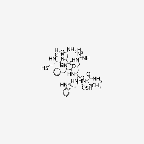 C=C(S)[C@H](NC(=O)[C@H](Cc1c[nH]c2ccccc12)NC(=O)[C@H](CCCNC(=N)N)NC(=O)[C@@H](Cc1ccccc1)NC(=O)[C@H](CC(N)=O)NC(=O)[C@H](CCS)NC)C(N)=O